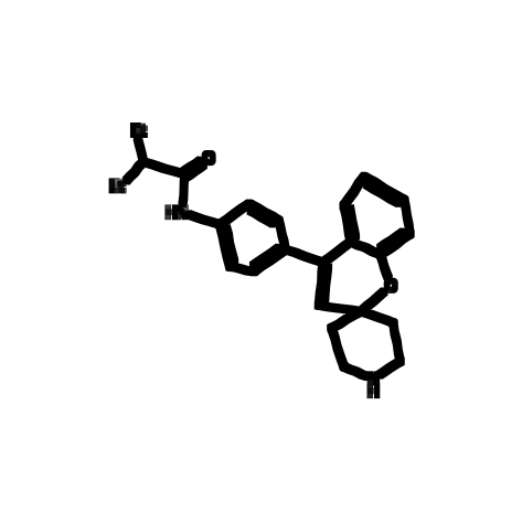 CCC(CC)C(=O)Nc1ccc(C2=CC3(CCNCC3)Oc3ccccc32)cc1